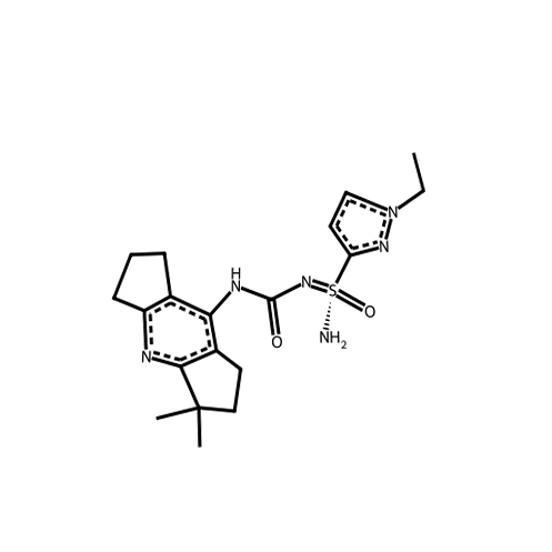 CCn1ccc([S@@](N)(=O)=NC(=O)Nc2c3c(nc4c2CCC4(C)C)CCC3)n1